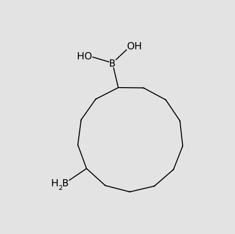 BC1CCCCCCCCC(B(O)O)CCC1